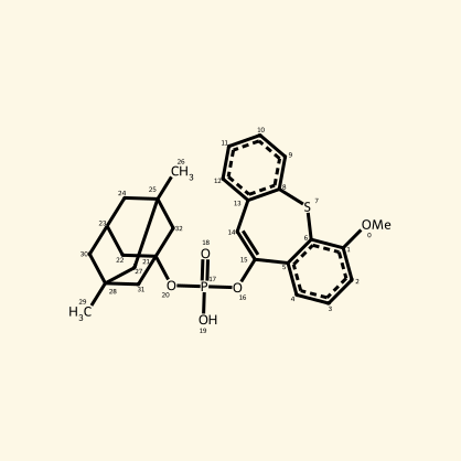 COc1cccc2c1Sc1ccccc1C=C2OP(=O)(O)OC12CC3CC(C)(CC(C)(C3)C1)C2